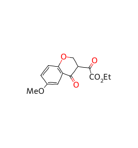 CCOC(=O)C(=O)C1COc2ccc(OC)cc2C1=O